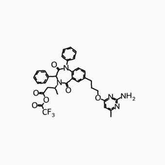 Cc1cc(OCCCc2ccc3c(c2)C(=O)N(C(C)CC(=O)OC(=O)C(F)(F)F)C(c2ccccc2)C(=O)N3c2ccccc2)nc(N)n1